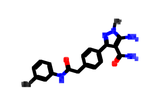 CC(C)n1nc(-c2ccc(CC(=O)Nc3cccc(C(C)(C)C)c3)cc2)c(C(N)=O)c1N